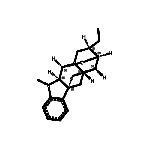 CC[C@@H]1CN2[C@H]3C[C@]45C[C@H]3[C@H]1C[C@H]2[C@@H]4N(C)c1ccccc15